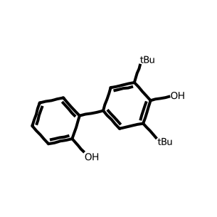 CC(C)(C)c1cc(-c2ccccc2O)cc(C(C)(C)C)c1O